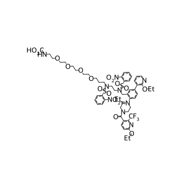 CCOc1ccc(C(=O)N2CCN(c3ccc(-c4cccnc4OCC)cc3CN(CCN(CCCOCCOCCOCCOCCNC(=O)O)S(=O)(=O)c3ccccc3[N+](=O)[O-])S(=O)(=O)c3ccccc3[N+](=O)[O-])[C@H](CC)C2)c(C(F)(F)F)n1